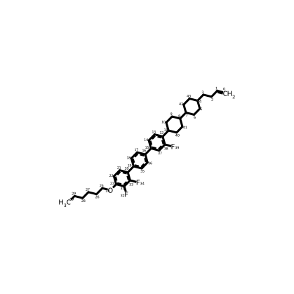 C=CCCC1CCC(C2CCC(c3ccc(-c4ccc(-c5ccc(OCCCCCC)c(F)c5F)cc4)cc3F)CC2)CC1